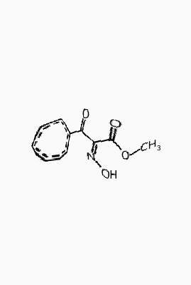 COC(=O)C(=NO)C(=O)c1ccccc1